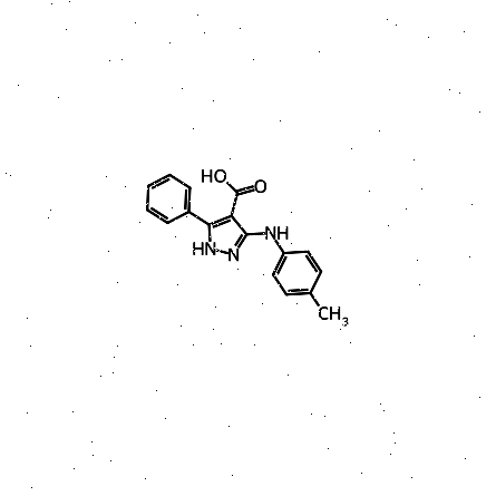 Cc1ccc(Nc2n[nH]c(-c3ccccc3)c2C(=O)O)cc1